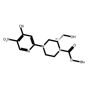 CC(C)(C)OC(=O)N1CCN(c2cc(C#N)c([N+](=O)[O-])cn2)C[C@@H]1CO